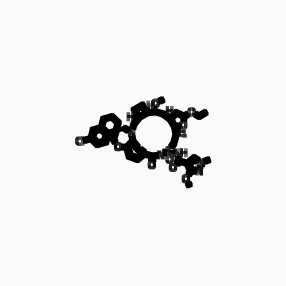 CCOC1C[C@@H]2C[C@H](OC)[C@@H]3CC[C@H]3CN3C[C@@]4(CCCc5cc(Cl)ccc54)COc4ccc(cc43)C(=O)N=[S@](=O)(NC(=O)c3cn(C)nc3OC)C[C@@H](C)[C@H]2O1